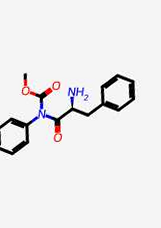 COC(=O)N(C(=O)[C@@H](N)Cc1ccccc1)c1ccccc1